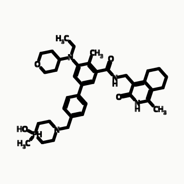 CCN(c1cc(-c2ccc(CN3CC[PH](C)(O)CC3)cc2)cc(C(=O)NCc2c3c(c(C)[nH]c2=O)CCCC3)c1C)C1CCOCC1